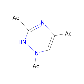 CC(=O)C1=CN(C(C)=O)NC(C(C)=O)=N1